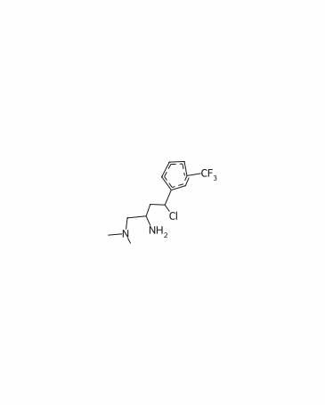 CN(C)CC(N)CC(Cl)c1cccc(C(F)(F)F)c1